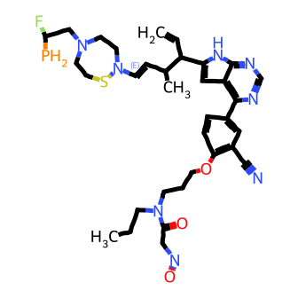 C=CC(c1cc2c(-c3ccc(OCCCN(CCC)C(=O)CN=O)c(C#N)c3)ncnc2[nH]1)C(C)/C=C/N1CCN(CC(F)P)CCS1